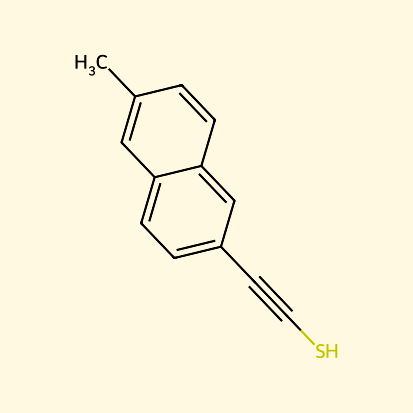 Cc1ccc2cc(C#CS)ccc2c1